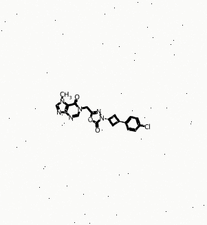 Cn1cnc2ncn(Cc3nn([C@H]4C[C@H](c5ccc(Cl)cc5)C4)c(=O)o3)c(=O)c21